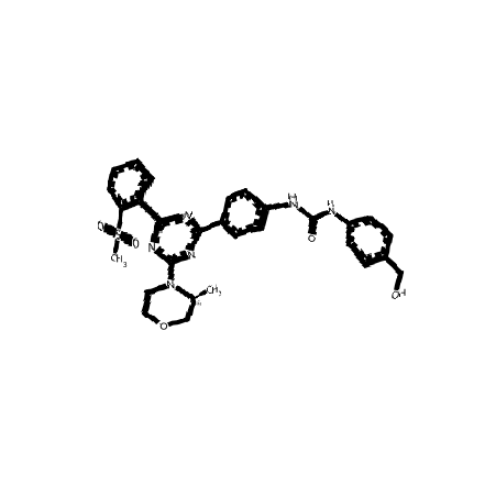 C[C@H]1COCCN1c1nc(-c2ccc(NC(=O)Nc3ccc(CO)cc3)cc2)nc(-c2ccccc2S(C)(=O)=O)n1